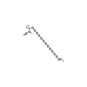 BB=BB=BB=BB=BB=BB=NC1(N(C)B=C)CC1